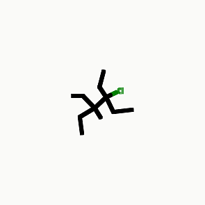 CCC(C)(CC)C(Cl)(CC)CC